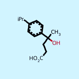 CC(C)c1ccc(C(C)(O)CCC(=O)O)cc1